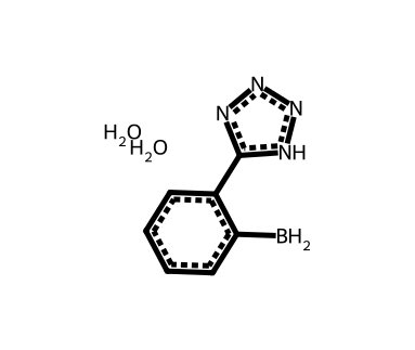 Bc1ccccc1-c1nnn[nH]1.O.O